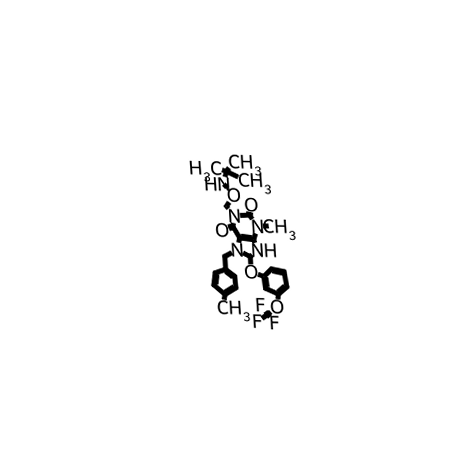 Cc1ccc(CN2c3c(n(C)c(=O)n(CONC(C)(C)C)c3=O)NC2Oc2cccc(OC(F)(F)F)c2)cc1